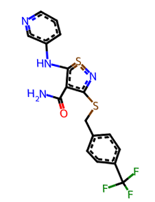 NC(=O)c1c(SCc2ccc(C(F)(F)F)cc2)nsc1Nc1cccnc1